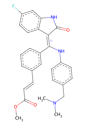 COC(=O)C=Cc1cccc(/C(Nc2ccc(CN(C)C)cc2)=C2/C(=O)Nc3cc(F)ccc32)c1